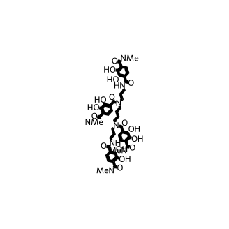 CNC(=O)c1ccc(C(=O)NCCCN(CCCCN(CCCNC(=O)c2ccc(C(=O)NC)c(O)c2O)C(=O)c2ccc(C(=O)NC)c(O)c2O)C(=O)c2ccc(C(=O)NC)c(O)c2O)c(O)c1O